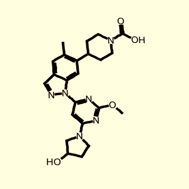 COc1nc(N2CCC(O)C2)cc(-n2ncc3cc(C)c(C4CCN(C(=O)O)CC4)cc32)n1